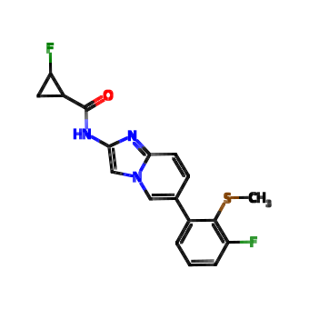 CSc1c(F)cccc1-c1ccc2nc(NC(=O)C3CC3F)cn2c1